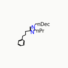 CCCCCCCCCCCn1cc(CCCc2ccccc2)nc1CCC